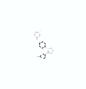 CC(C)(C)N1CCC(Oc2ccc(N3CCCC3c3csc(N)n3)cc2)C1